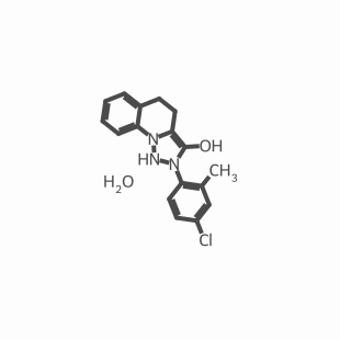 Cc1cc(Cl)ccc1N1NN2C(=C1O)CCc1ccccc12.O